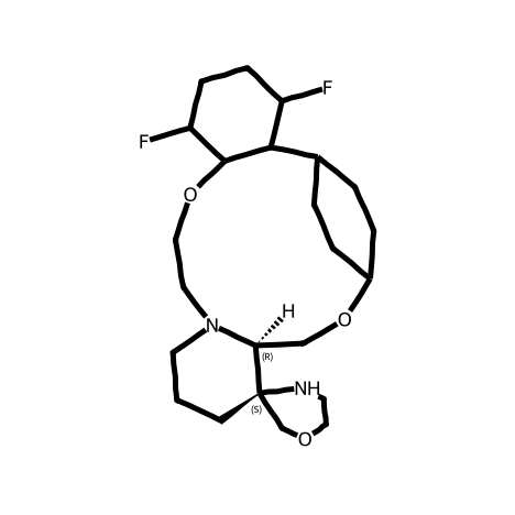 FC1CCC(F)C2C3CCC(CC3)OC[C@@H]3N(CCC[C@@]34COCCN4)CCOC12